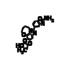 CCC(Oc1cc2c3c(c1)nc(-c1ccc4oc(N)nc4c1)n3CCCCO2)C(=O)O